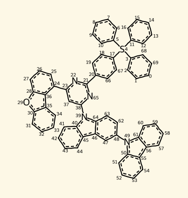 c1ccc(S(c2ccccc2)(c2ccccc2)c2ccc(-c3nc(-c4cccc5oc6ccccc6c45)cc(-n4c5ccccc5c5cc(-n6c7ccccc7c7ccccc76)ccc54)n3)cc2)cc1